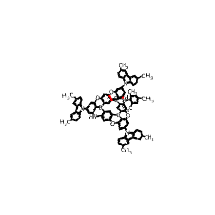 Cc1cc(C)c(N2c3cc4c(cc3B3c5cc(C)ccc5Oc5cc(-n6c7ccc(C)cc7c7cc(C)ccc76)cc2c53)B2c3cc5c(cc3Oc3cc(-n6c7ccc(C)cc7c7cc(C)ccc76)cc(c32)O4)Nc2cc(-n3c4ccc(C)cc4c4cc(C)ccc43)cc3c2B5c2cc(C)ccc2O3)c(C)c1